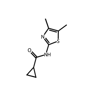 Cc1nc(NC(=O)C2CC2)sc1C